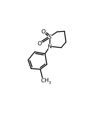 Cc1cccc(N2CCCCS2(=O)=O)c1